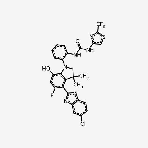 CC1(C)CN(c2ccccc2NC(=O)Nc2csc(C(F)(F)F)n2)c2c(O)cc(F)c(-c3nc4cc(Cl)ccc4s3)c21